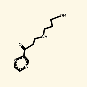 O=C(CCNCCCO)c1cnccn1